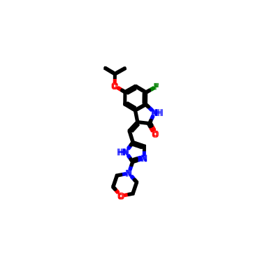 CC(C)Oc1cc(F)c2c(c1)C(=Cc1cnc(N3CCOCC3)[nH]1)C(=O)N2